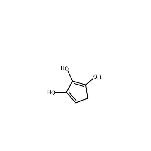 OC1=CCC(O)=C1O